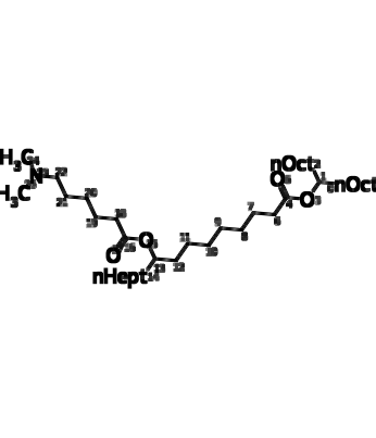 CCCCCCCCC(CCCCCCCC)OC(=O)CCCCCCCC(CCCCCCC)OC(=O)CCCCCN(C)C